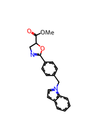 COC(=O)C1CN=C(c2ccc(Cn3ccc4ccccc43)cc2)O1